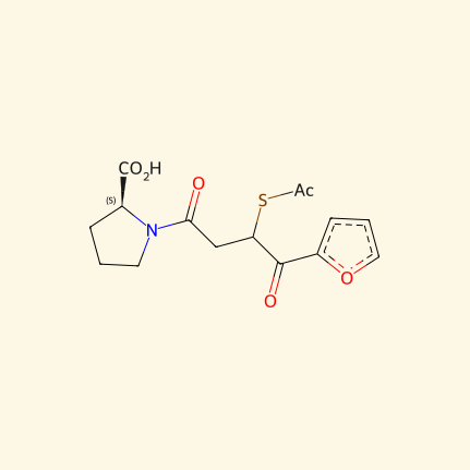 CC(=O)SC(CC(=O)N1CCC[C@H]1C(=O)O)C(=O)c1ccco1